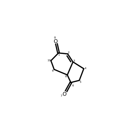 O=C1C=C2CCC(=O)C2CC1